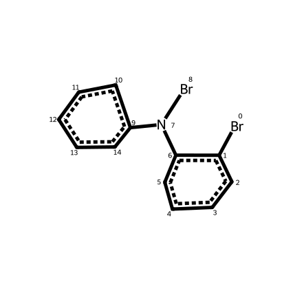 Brc1ccccc1N(Br)c1ccccc1